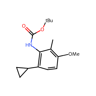 COc1ccc(C2CC2)c(NC(=O)OC(C)(C)C)c1C